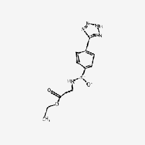 CCOC(=O)CN[S+]([O-])c1ccc(-c2nn[nH]n2)cc1